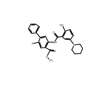 COC(=O)c1cc(F)c(-c2ccccc2)cc1NC(=O)c1cc(N2CCCCC2)ccc1O